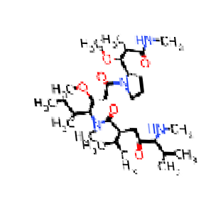 CCC(C)C([C@@H](CC(=O)N1CCC[C@H]1[C@H](OC)[C@@H](C)C(=O)NC)OC)N(C)C(=O)[C@@H](CC(=O)[C@@H](NC)C(C)C)C(C)C